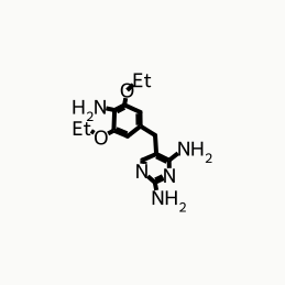 CCOc1cc(Cc2cnc(N)nc2N)cc(OCC)c1N